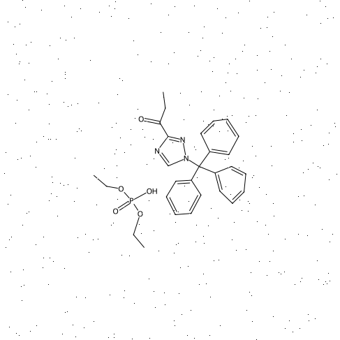 CCC(=O)c1ncn(C(c2ccccc2)(c2ccccc2)c2ccccc2)n1.CCOP(=O)(O)OCC